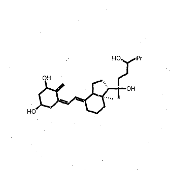 C=C1/C(=C\C=C2CCC[C@@]3(C)C2CC[C@@H]3[C@@](C)(O)CCC(O)C(C)C)C[C@@H](O)CC1O